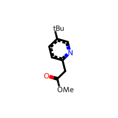 COC(=O)Cc1ccc(C(C)(C)C)cn1